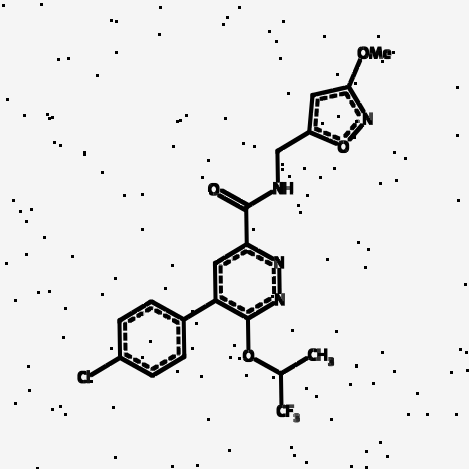 COc1cc(CNC(=O)c2cc(-c3ccc(Cl)cc3)c(OC(C)C(F)(F)F)nn2)on1